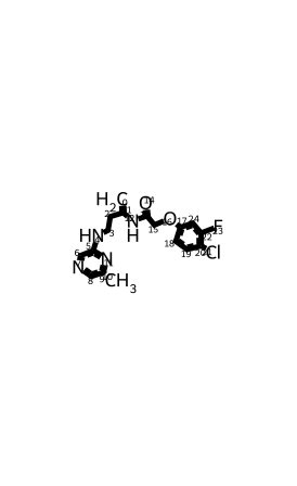 C=C(CCNc1cncc(C)n1)NC(=O)COc1ccc(Cl)c(F)c1